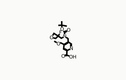 COCc1cc(C(=O)O)ncc1CN(CC1(F)COC1)C(=O)OC(C)(C)C